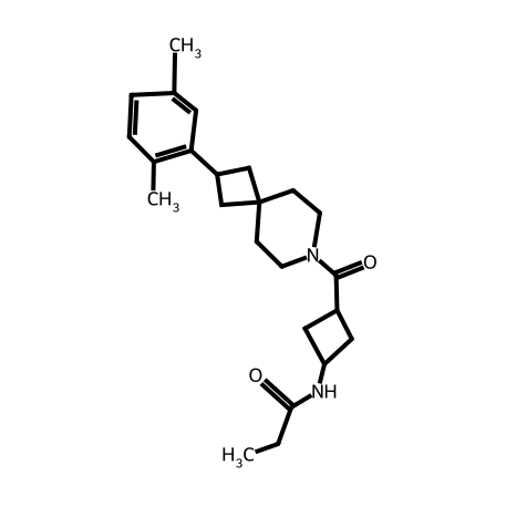 CCC(=O)NC1CC(C(=O)N2CCC3(CC2)CC(c2cc(C)ccc2C)C3)C1